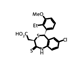 CCc1c(OC)cccc1[C@H]1S[C@H](CC(=O)O)C(=S)Nc2ccc(Cl)cc21